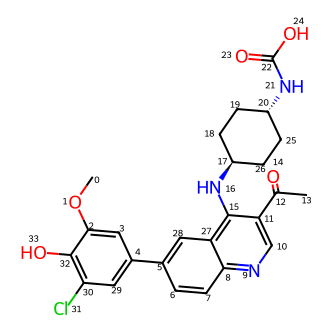 COc1cc(-c2ccc3ncc(C(C)=O)c(N[C@H]4CC[C@H](NC(=O)O)CC4)c3c2)cc(Cl)c1O